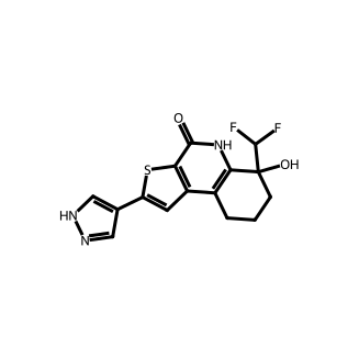 O=c1[nH]c2c(c3cc(-c4cn[nH]c4)sc13)CCCC2(O)C(F)F